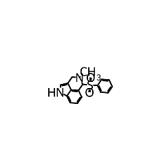 CN1Cc2c[nH]c3cccc(c23)C1S(=O)(=O)c1ccccc1